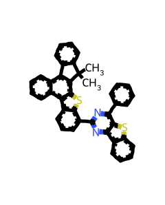 CC1(C)c2ccccc2-c2c1c1sc3c(-c4nc(-c5ccccc5)c5sc6ccccc6c5n4)cccc3c1c1ccccc21